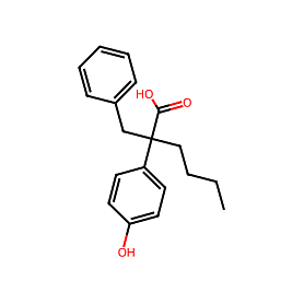 CCCCC(Cc1ccccc1)(C(=O)O)c1ccc(O)cc1